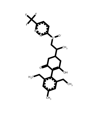 CCc1cc(C)cc(CC)c1C1=C(O)CC(C(C)C[S+]([O-])c2ccc(C(F)(F)F)nn2)CC1=O